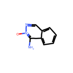 Nc1c2ccccc2cn[n+]1[O-]